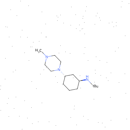 CN1CCN([C@H]2CCC[C@H](NC(C)(C)C)C2)CC1